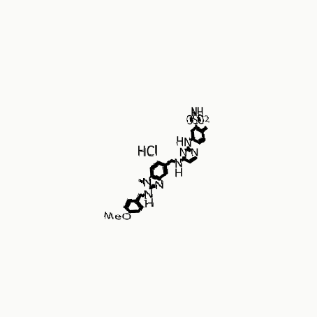 COc1ccc(CNc2nc3cc(CNc4ccnc(Nc5ccc(C)c(S(N)(=O)=O)c5)n4)ccc3n2C)cc1.Cl